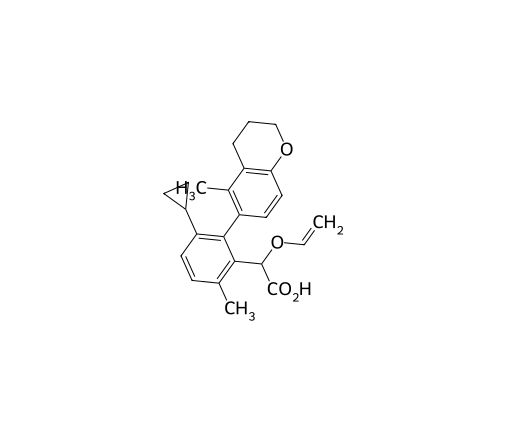 C=COC(C(=O)O)c1c(C)ccc(C2CC2)c1-c1ccc2c(c1C)CCCO2